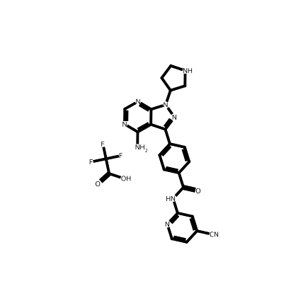 N#Cc1ccnc(NC(=O)c2ccc(-c3nn(C4CCNC4)c4ncnc(N)c34)cc2)c1.O=C(O)C(F)(F)F